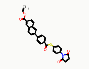 C=COC(=O)c1ccc2cc(-c3ccc(C(=O)Sc4ccc(N5C(=O)C=CC5=O)cc4)cc3)ccc2c1